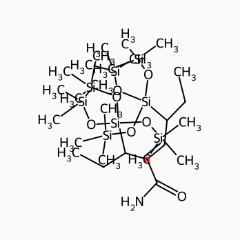 CCC(C=C(C(N)=O)C(CC)[Si](O[Si](C)(C)C)(O[Si](C)(C)C)O[Si](C)(C)C)[Si](O[Si](C)(C)C)(O[Si](C)(C)C)O[Si](C)(C)C